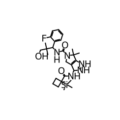 CC(C)(CO)C(NC(=O)N1CC2=C(NNC2NC(=O)C2([Si](C)(C)C)CCC2)C1(C)C)c1ccccc1F